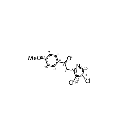 COc1ccc(C(=O)Cn2ncc(Cl)c2Cl)cc1